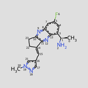 C[C@@H](N)c1cc(F)cc2nc3c(nc12)C(=Cc1cnn(C)c1)CC3